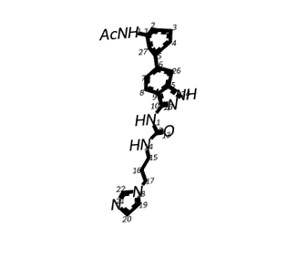 CC(=O)Nc1cccc(-c2ccc3c(NC(=O)NCCCn4ccnc4)n[nH]c3c2)c1